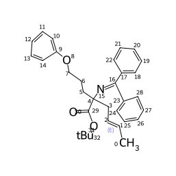 C/C=C/CC(CCCOc1ccccc1)(N=C(c1ccccc1)c1ccccc1)C(=O)OC(C)(C)C